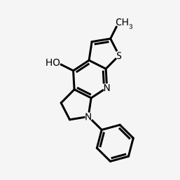 Cc1cc2c(O)c3c(nc2s1)N(c1ccccc1)CC3